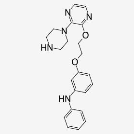 c1ccc(Nc2cccc(OCCOc3nccnc3N3CCNCC3)c2)cc1